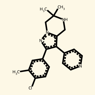 Cc1cc(-c2nn3c(c2-c2ccncc2)CNC(C)(C)C3)ccc1Cl